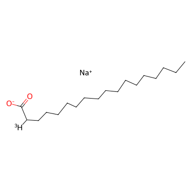 [3H]C(CCCCCCCCCCCCCCCC)C(=O)[O-].[Na+]